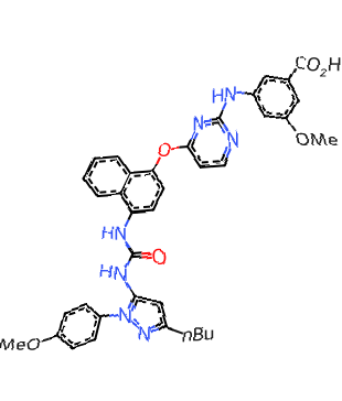 CCCCc1cc(NC(=O)Nc2ccc(Oc3ccnc(Nc4cc(OC)cc(C(=O)O)c4)n3)c3ccccc23)n(-c2ccc(OC)cc2)n1